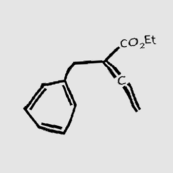 C=C=C(Cc1ccccc1)C(=O)OCC